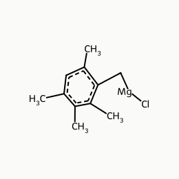 Cc1cc(C)c([CH2][Mg][Cl])c(C)c1C